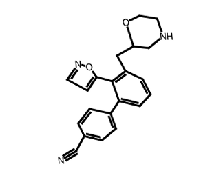 N#Cc1ccc(-c2cccc(CC3CNCCO3)c2-c2ccno2)cc1